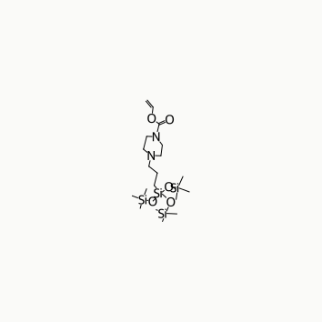 C=COC(=O)N1CCN(CCC[Si](O[Si](C)(C)C)(O[Si](C)(C)C)O[Si](C)(C)C)CC1